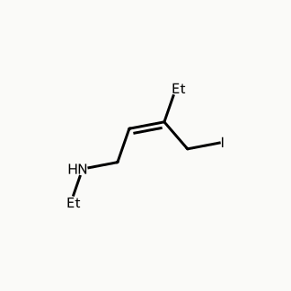 CCNC/C=C(/CC)CI